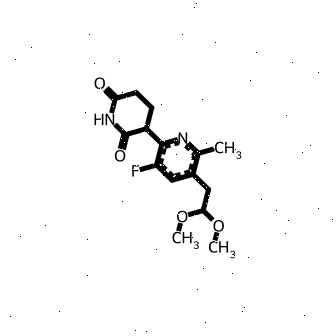 COC(Cc1cc(F)c(C2CCC(=O)NC2=O)nc1C)OC